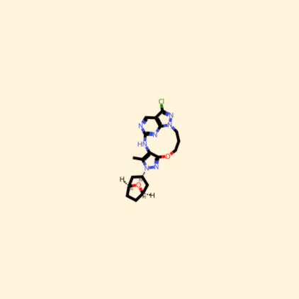 Cc1c2c(nn1[C@@H]1C[C@H]3CC[C@@H](C1)O3)OCCCn1nc(Cl)c3cnc(nc31)N2